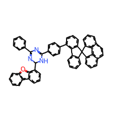 c1ccc(C2=NC(c3cccc4c3oc3ccccc34)NC(c3ccc(-c4cccc5c4-c4ccccc4C54c5cccc6ccc7cccc4c7c56)cc3)=N2)cc1